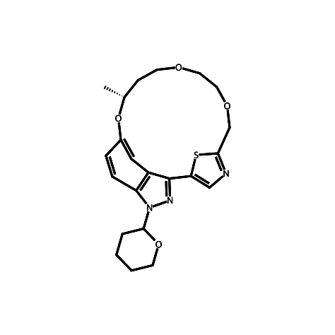 C[C@@H]1CCOCCOCc2ncc(s2)-c2nn(C3CCCCO3)c3ccc(cc23)O1